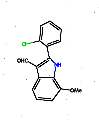 COc1cccc2c(C=O)c(-c3ccccc3Cl)[nH]c12